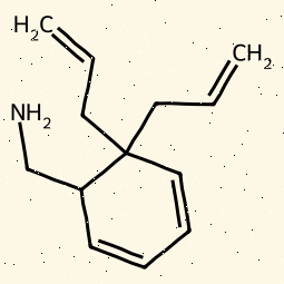 C=CCC1(CC=C)C=CC=CC1CN